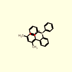 Cc1cc(C)c(-c2ccccc2P(c2ccccc2)c2ccccc2)c(C)c1